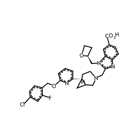 O=C(O)c1ccc2nc(CN3CC[C@]4(c5cccc(OCc6ccc(Cl)cc6F)n5)C[C@@H]4C3)n(C[C@@H]3CCO3)c2c1